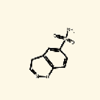 NS(=O)(=O)c1ccc2c(c1)CC=NO2